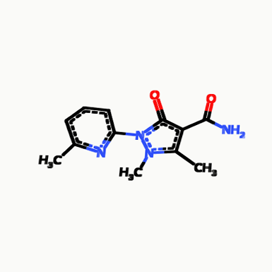 Cc1cccc(-n2c(=O)c(C(N)=O)c(C)n2C)n1